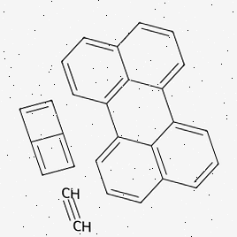 C#C.c1cc2ccc1-2.c1cc2cccc3c4cccc5cccc(c(c1)c23)c54